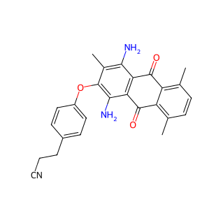 Cc1ccc(C)c2c1C(=O)c1c(N)c(C)c(Oc3ccc(CCC#N)cc3)c(N)c1C2=O